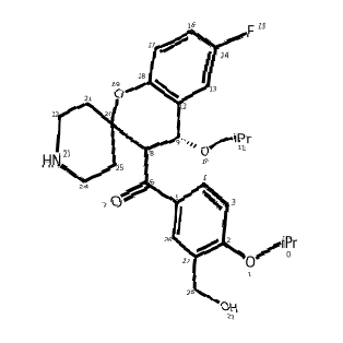 CC(C)Oc1ccc(C(=O)C2[C@@H](OC(C)C)c3cc(F)ccc3OC23CCNCC3)cc1CO